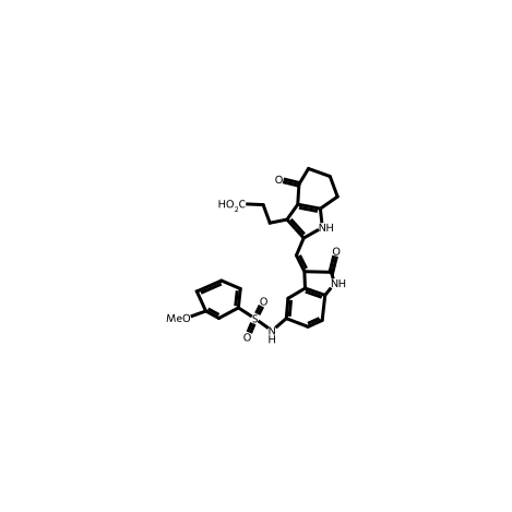 COc1cccc(S(=O)(=O)Nc2ccc3c(c2)C(=Cc2[nH]c4c(c2CCC(=O)O)C(=O)CCC4)C(=O)N3)c1